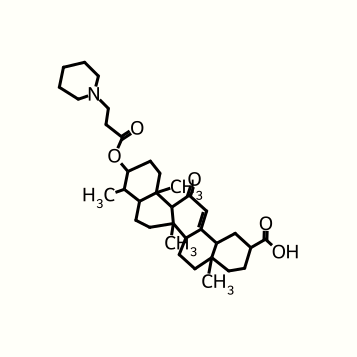 CC1C(OC(=O)CCN2CCCCC2)CCC2(C)C1CCC1(C)C3CCC4(C)CCC(C(=O)O)CC4C3=CC(=O)C12